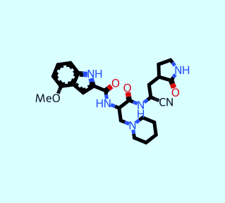 COc1cccc2[nH]c(C(=O)NC(CN3CCCCC3)C(=O)NC(C#N)CC3CCNC3=O)cc12